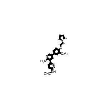 COc1cc(-c2cnc(N)c(-c3ccc(NC=O)nn3)c2)ccc1OCCN1CCCC1